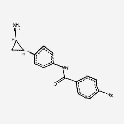 N[C@@H]1C[C@H]1c1ccc(NC(=O)c2ccc(Br)cc2)cc1